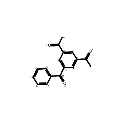 CC(=O)c1cc(C(C)=O)cc(C(=O)c2ccccc2)c1